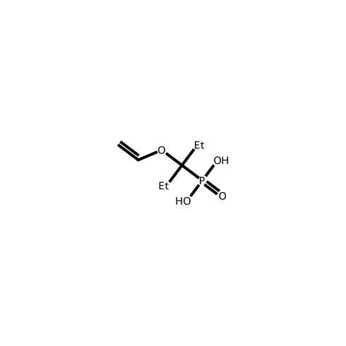 C=COC(CC)(CC)P(=O)(O)O